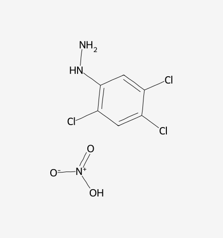 NNc1cc(Cl)c(Cl)cc1Cl.O=[N+]([O-])O